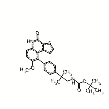 COc1ccc2[nH]c(=O)c3sccc3c2c1-c1ccc(C(C)(C)CNC(=O)OC(C)(C)C)cc1